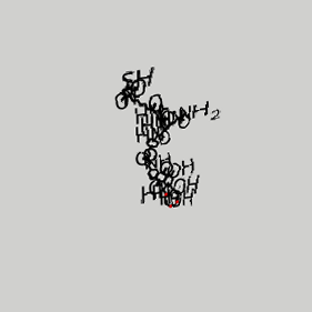 CC(C)[C@H](NC(=O)CCCCCN1C(=O)CC(S)C1=O)C(=O)N[C@@H](CCCNC(N)=O)C(=O)Nc1ccc(COC(=O)NCc2ccc3c(c2)C(=O)c2c(O)cc4c(c2C3=O)N[C@H]2C#C/C=C\C#C[C@@H](O)C4C2[C@@H](C)O)cc1